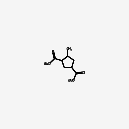 CC(C)COC(=O)C1CC(C)C(C(=O)OCC(C)C)C1